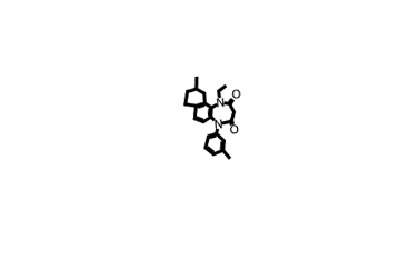 CCN1C(=O)CC(=O)N(c2cccc(C)c2)c2ccc3c(c21)CC(C)CC3